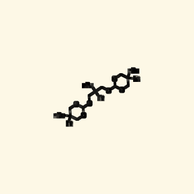 CCCCC1(CC)COC(OCC(CC)(CCCC)COC2OCC(CC)(CCCC)CO2)OC1